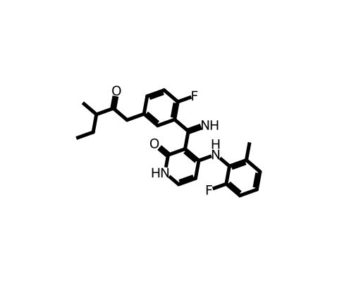 CCC(C)C(=O)Cc1ccc(F)c(C(=N)c2c(Nc3c(C)cccc3F)cc[nH]c2=O)c1